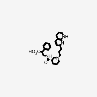 O=C(O)C(CNC(=O)[C@@H]1CCCN(CCCc2ccc3c(n2)NCCC3)C1)c1ccccc1